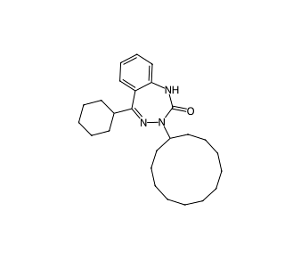 O=C1Nc2ccccc2C(C2CCCCC2)=NN1C1CCCCCCCCCCC1